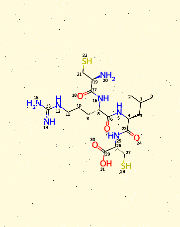 CC(C)C[C@H](NC(=O)[C@H](CCCNC(=N)N)NC(=O)[C@H](N)CS)C(=O)N[C@H](CS)C(=O)O